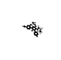 Cc1ccc(-c2c(C)c3c(c(C)c2[C@H](OC(C)(C)C)C(=O)O)N(S(C)(=O)=O)Cc2cc(C#N)ccc2-3)cc1